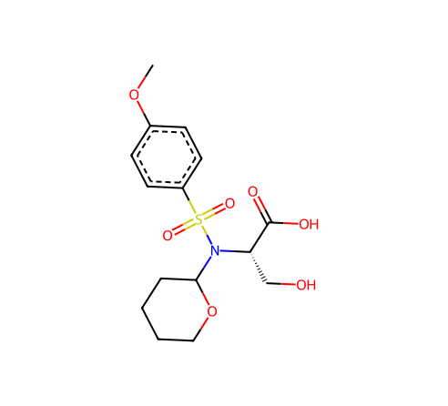 COc1ccc(S(=O)(=O)N(C2CCCCO2)[C@@H](CO)C(=O)O)cc1